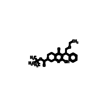 CCOCC(c1ccccc1)n1c(O)nc2c(c1=O)CCN(C(=O)OC(C)(C)C)C2